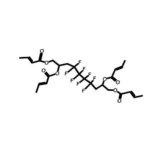 CC=CC(=O)OCC(CC(F)(F)C(F)(F)C(F)(F)C(F)(F)CC(COC(=O)C=CC)OC(=O)C=CC)OC(=O)C=CC